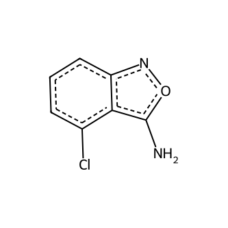 Nc1onc2cccc(Cl)c12